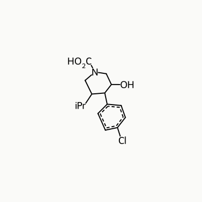 CC(C)C1CN(C(=O)O)CC(O)C1c1ccc(Cl)cc1